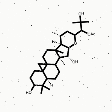 CC(=O)OC(C1C[C@@H](C)[C@H]2C(O1)[C@H](O)[C@@]1(C)C3CC[C@H]4C(C)(C)C(O)CCC45CC35CCC21C)C(C)(C)O